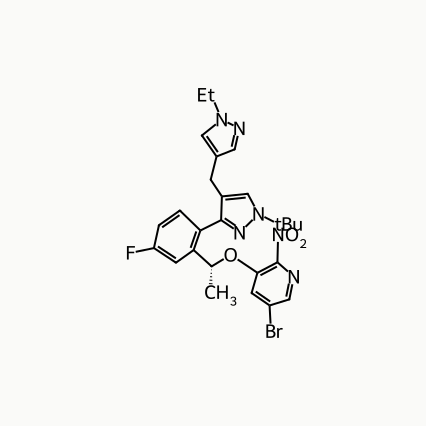 CCn1cc(Cc2cn(C(C)(C)C)nc2-c2ccc(F)cc2[C@@H](C)Oc2cc(Br)cnc2[N+](=O)[O-])cn1